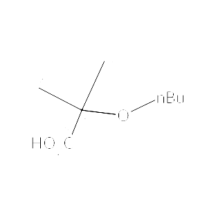 CCCCOC(C)(C)C(=O)O